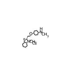 CNc1ccc(OC=Cc2sc3ccccc3[n+]2C)cc1.[Cl-]